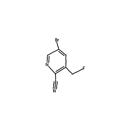 N#Cc1ncc(Br)cc1CF